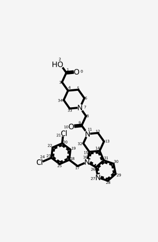 O=C(O)CC1CCN(CC(=O)N2CCc3c(n(Cc4cc(Cl)cc(Cl)c4)c4ncccc34)C2)CC1